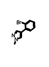 Cn1cc(-c2ccccc2Br)cn1